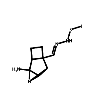 NC12C3C(N31)C1(/C=N/NSI)CCC12